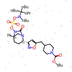 CCCCN(OS(=O)(=O)ON1C(=O)N2C[C@@H]1CC[C@H]2c1cc(CC2CCN(C(=O)OC(C)(C)C)CC2)on1)C(CCC)(CCCC)CCCC